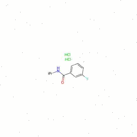 CC(C)NC(=O)c1cccc(F)c1.Cl.Cl